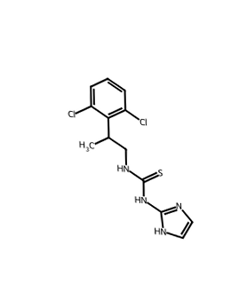 CC(CNC(=S)Nc1ncc[nH]1)c1c(Cl)cccc1Cl